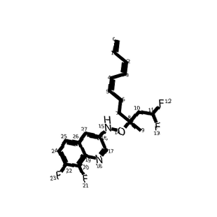 C=C/C=C\C=C/CCC(C)(CC(F)F)ONc1cnc2c(F)c(F)ccc2c1